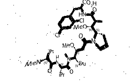 CC[C@H](C)C([C@@H](CC(=O)N1CCC[C@H]1[C@H](OC)C(C)C(=O)NC(Cc1ccc(Cl)cc1Cl)C(=O)O)OC)N(C)C(=O)[C@@H](NC(=O)[C@@H](NC)C(C)C)C(C)C